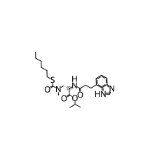 CCCCCCSC(=O)N(C)C[C@H](NC(=O)CCc1cccc2nc[nH]c12)C(=O)OC(C)C